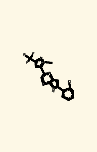 Cn1nc(C(F)(F)F)cc1-c1cnc2[nH]c(-c3ccccc3Cl)cc2n1